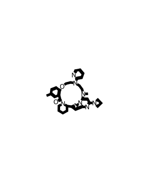 Cc1ccc2c(c1)C(=O)N1CCCCC1c1cc3nc(N4CCC4)cc(n3n1)N(C)CCN(c1ccccn1)CCO2